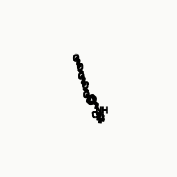 COCCOCCOCCOCCOc1ccc(CCNC(=O)OC(C)(C)C)cc1